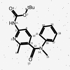 Cc1nc(NC(=O)OC(C)(C)C)ccc1C(=O)N(C)c1ccccc1